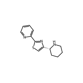 c1ccc(-c2nc([C@H]3CCCCN3)cs2)nc1